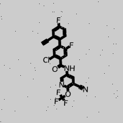 C#Cc1cc(F)ccc1-c1cc(Cl)c(C(=O)Nc2cnc(OC(F)(F)F)c(C#N)c2)cc1F